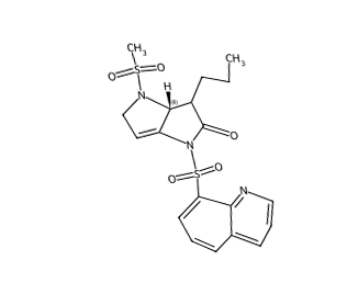 CCCC1C(=O)N(S(=O)(=O)c2cccc3cccnc23)C2=CCN(S(C)(=O)=O)[C@@H]21